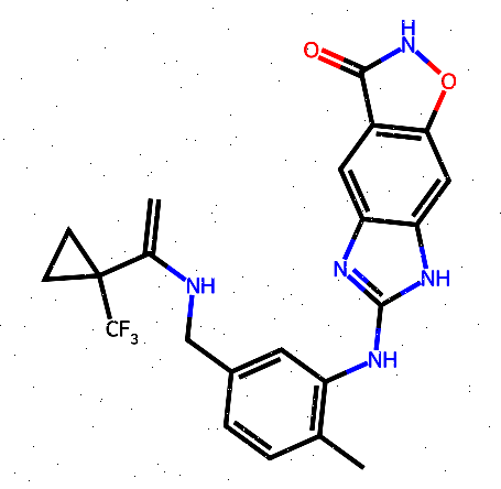 C=C(NCc1ccc(C)c(Nc2nc3cc4c(=O)[nH]oc4cc3[nH]2)c1)C1(C(F)(F)F)CC1